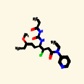 C=CN(C(=O)CC(Cl)[C@@H](C/C=C(\CC)OC)NC(=O)NC(=O)CC)c1cccnc1